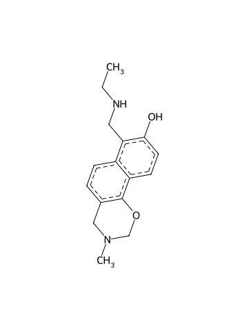 CCNCc1c(O)ccc2c3c(ccc12)CN(C)CO3